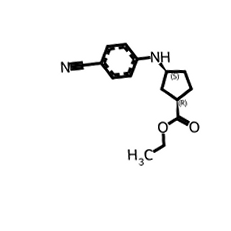 CCOC(=O)[C@@H]1CC[C@H](Nc2ccc(C#N)cc2)C1